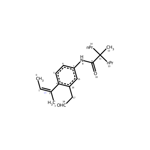 C/C=C(/C)c1ccc(NC(=O)C(C)(CCC)CCC)cc1CC=O